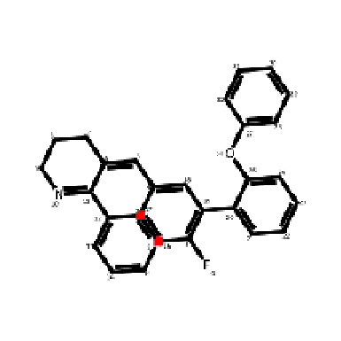 Fc1ccc(/C=C2/CCCN=C2c2cccnc2)cc1-c1ccccc1Oc1ccccc1